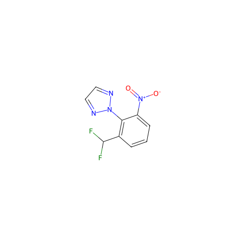 O=[N+]([O-])c1cccc(C(F)F)c1-n1nccn1